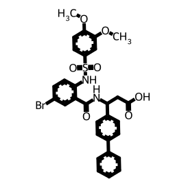 COc1ccc(S(=O)(=O)Nc2ccc(Br)cc2C(=O)NC(CC(=O)O)c2ccc(-c3ccccc3)cc2)cc1OC